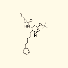 C=CCOC(=O)NC(CC(=O)OC(C)(C)C)C(O)CCCCCc1ccccc1